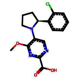 COc1nc(C(=O)O)ncc1N1CCC[C@H]1c1ccccc1Cl